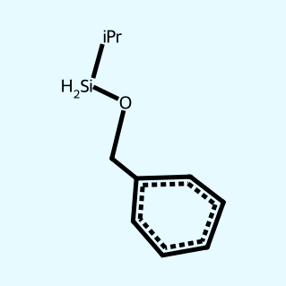 CC(C)[SiH2]OCc1ccccc1